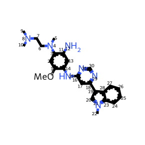 COc1cc(N(C)CCN(C)C)c(N)cc1Nc1cc(-c2cn(C)c3ccccc23)ncn1